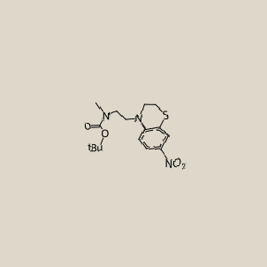 CN(CCN1CCSc2cc([N+](=O)[O-])ccc21)C(=O)OC(C)(C)C